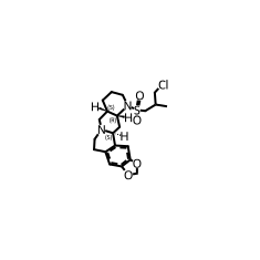 CC(CCl)CS(=O)(=O)N1CCC[C@H]2CN3CCc4cc5c(cc4[C@@H]3C[C@H]21)OCO5